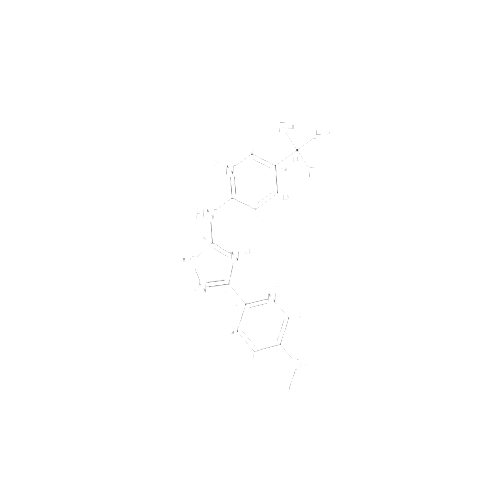 COc1ccc(-c2nsc(Nc3ccc(C(F)(F)F)cn3)n2)nc1